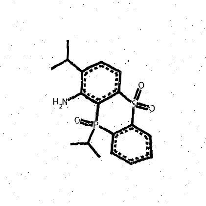 CC(C)c1ccc2c(c1N)P(=O)(C(C)C)c1ccccc1S2(=O)=O